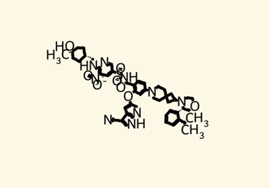 CC(C)c1ccccc1[C@H]1COCCN1C1CC2(CCN(c3ccc(C(=O)NS(=O)(=O)c4cnc(NC[C@H]5CC[C@](C)(O)CC5)c([N+](=O)[O-])c4)c(Oc4cnc5[nH]cc(C#N)c5c4)c3)CC2)C1